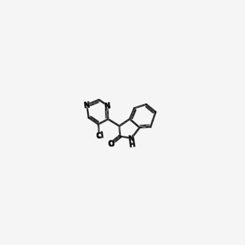 O=C1Nc2ccccc2C1c1ncncc1Cl